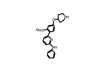 COc1cc(OC2CCNCC2)ccc1-c1cccc(Nc2ccccc2)n1